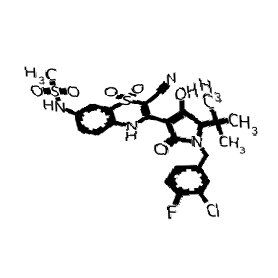 CC(C)(C)C1C(O)=C(C2=C(C#N)S(=O)(=O)c3cc(NS(C)(=O)=O)ccc3N2)C(=O)N1Cc1ccc(F)c(Cl)c1